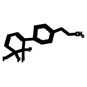 CCCc1ccc(C2=CC=CC(F)(F)C2(F)F)cc1